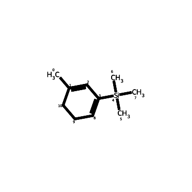 CC1=CC([Si](C)(C)C)=CCC1